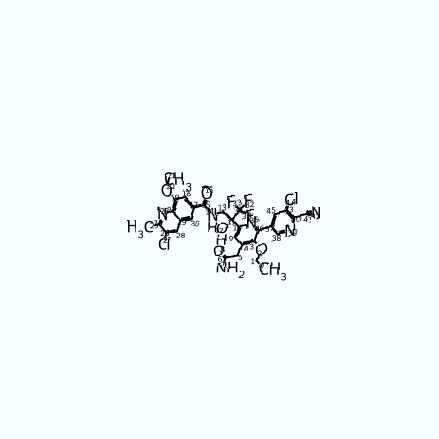 CCOc1c(CC(N)=O)cc([C@@](O)(CNC(=O)c2cc(OC)c3nc(C)c(Cl)cc3c2)C(F)(F)F)nc1-c1cnc(C#N)c(Cl)c1